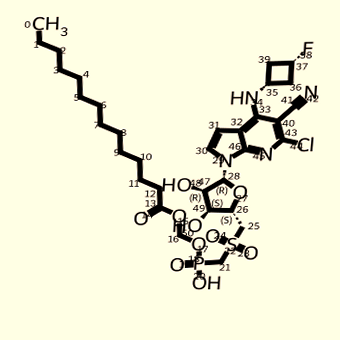 CCCCCCCCCCCCCC(=O)OCOP(=O)(O)CS(=O)(=O)C[C@H]1O[C@@H](n2ccc3c(N[C@H]4C[C@@H](F)C4)c(C#N)c(Cl)nc32)[C@H](O)[C@@H]1O